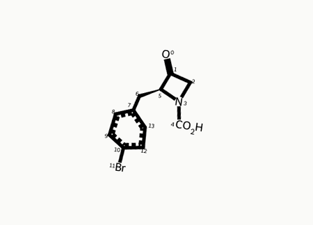 O=C1CN(C(=O)O)[C@H]1Cc1ccc(Br)cc1